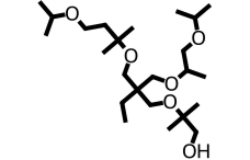 CCC(COC(C)COC(C)C)(COC(C)(C)CO)COC(C)(C)CCOC(C)C